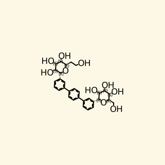 OCC[C@H]1O[C@H](c2cccc(-c3ccc(-c4cccc([C@H]5O[C@H](CO)[C@@H](O)[C@H](O)[C@@H]5O)c4)cc3)c2)[C@@H](O)[C@@H](O)[C@@H]1O